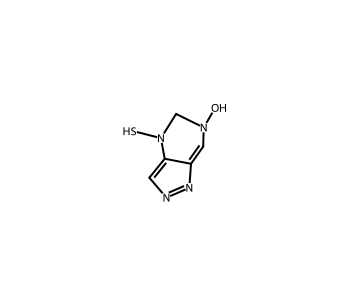 ON1C=C2N=NC=C2N(S)C1